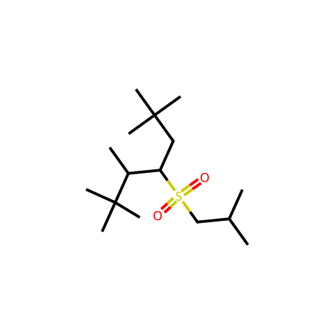 CC(C)CS(=O)(=O)C(CC(C)(C)C)C(C)C(C)(C)C